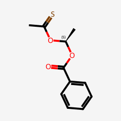 CC(=S)O[C@@H](C)OC(=O)c1ccccc1